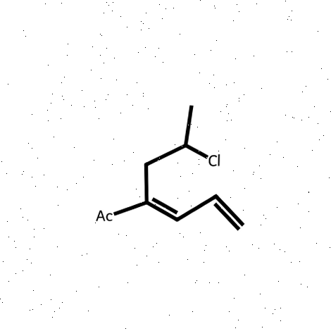 C=CC=C(CC(C)Cl)C(C)=O